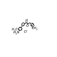 Cc1cc(N2CCC(NC(=O)Cn3cc[n+](C)c3)C2)ccc1N.[Cl-]